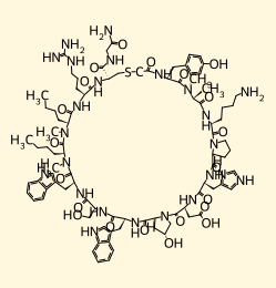 CCCC[C@H]1C(=O)N(C)[C@@H](CCCC)C(=O)N[C@@H](CCCNC(=N)N)C(=O)N[C@H](C(=O)NCC(N)=O)CSCC(=O)N[C@@H](Cc2ccc(O)cc2)C(=O)N(C)[C@@H](C)C(=O)N[C@@H](CCCCN)C(=O)N2CCC[C@H]2C(=O)N[C@@H](Cc2c[nH]cn2)C(=O)N[C@@H](CC(=O)O)C(=O)N2C[C@H](O)C[C@H]2C(=O)N[C@@H](Cc2c[nH]c3ccccc23)C(=O)N[C@@H](CO)C(=O)N[C@@H](Cc2c[nH]c3ccccc23)C(=O)N1C